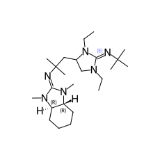 CCN1CC(CC(C)(C)N=C2N(C)[C@@H]3CCCC[C@H]3N2C)N(CC)/C1=N/C(C)(C)C